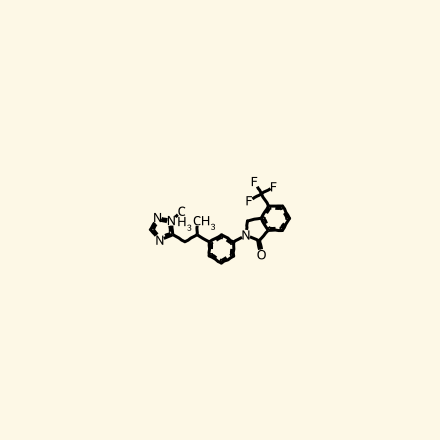 CC(Cc1ncnn1C)c1cccc(N2Cc3c(cccc3C(F)(F)F)C2=O)c1